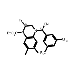 CCOC(=O)N1c2cc(C)c(C)cc2N([C@@H](C#N)c2cc(C(F)(F)F)cc(C(F)(F)F)c2)C[C@@H]1CC